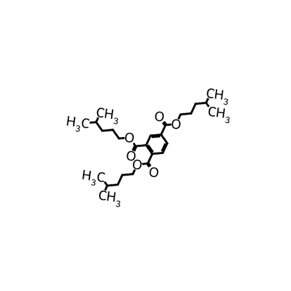 CC(C)CCCOC(=O)c1ccc(C(=O)OCCCC(C)C)c(C(=O)OCCCC(C)C)c1